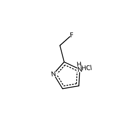 Cl.FCc1ncc[nH]1